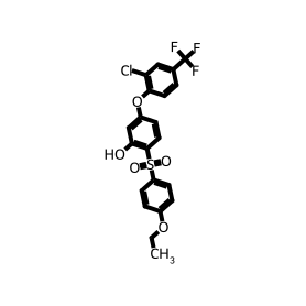 CCOc1ccc(S(=O)(=O)c2ccc(Oc3ccc(C(F)(F)F)cc3Cl)cc2O)cc1